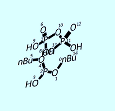 CCCCOP(O)OCCCC.O=P(O)(O)OP(=O)(O)O